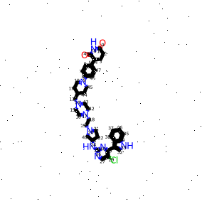 O=C1CCC(c2ccc(N3CCC(CN4CCN(CCN5CCC(Nc6ncc(Cl)c(-c7c[nH]c8ccccc78)n6)C5)CC4)CC3)cc2)C(=O)N1